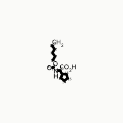 C=CCCCCOC(=O)NC(C(=O)O)C1CCCC1